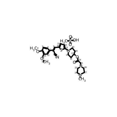 COc1ccc(/C(C#N)=C/c2ccc(N3CCC(OC(=O)CN4CCN(C)CC4)CC3)s2)cc1OC.CS(=O)(=O)O